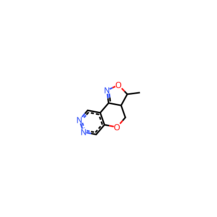 CC1ON=C2c3cnncc3OCC21